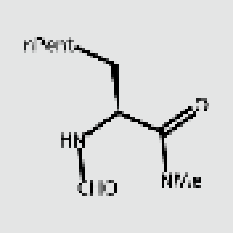 CCCCCC[C@H](NC=O)C(=O)NC